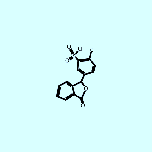 O=C1OC(c2ccc(Cl)c(S(=O)(=O)Cl)c2)c2ccccc21